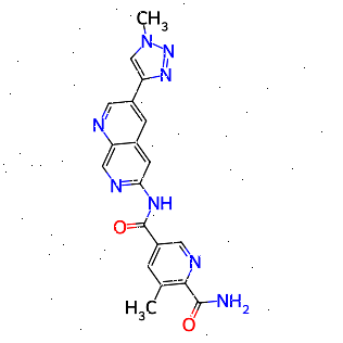 Cc1cc(C(=O)Nc2cc3cc(-c4cn(C)nn4)cnc3cn2)cnc1C(N)=O